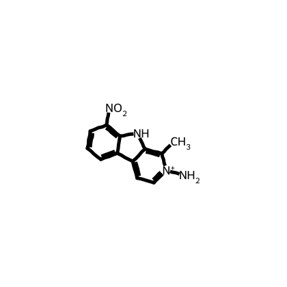 Cc1c2[nH]c3c([N+](=O)[O-])cccc3c2cc[n+]1N